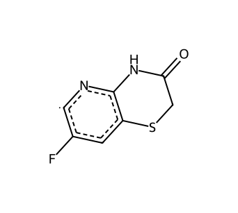 O=C1CSc2cc(F)[c]nc2N1